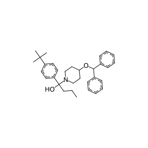 CCCC(O)(c1ccc(C(C)(C)C)cc1)N1CCC(OC(c2ccccc2)c2ccccc2)CC1